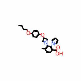 CCCCOc1ccc(OC2CN(c3c(C)ccc(C(=O)O)c3-n3cccc3)C2)cc1